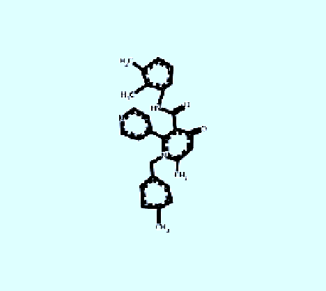 Cc1ccc(Cn2c(C)cc(=O)c(C(=O)Nc3cccc(C)c3C)c2-c2ccncc2)cc1